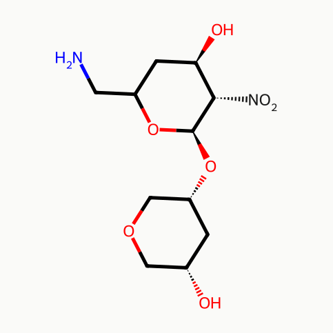 NCC1C[C@@H](O)[C@H]([N+](=O)[O-])[C@@H](O[C@H]2COC[C@@H](O)C2)O1